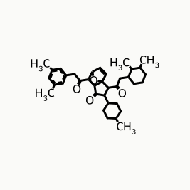 Cc1cc(C)cc(CC(=O)C2C3C=CC4(O3)C(C(=O)CC3CCCC(C)C3C)C(C3CCC(C)CC3)C(=O)C24)c1